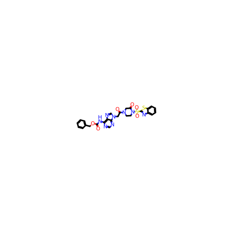 O=C(Nc1ncnc2c1ncn2CC(=O)N1CCN(S(=O)(=O)c2nc3ccccc3s2)C(=O)C1)OCc1ccccc1